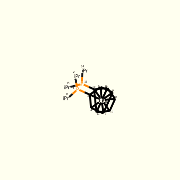 CC(C)P(C(C)C)[C]12[CH]3[CH]4[CH]5[CH]1[Fe]45321678[CH]2[CH]1[CH]6[C]7(P(C(C)C)C(C)C)[CH]28